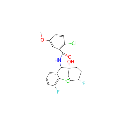 COc1ccc(Cl)c(C(=O)NC(c2cccc(F)c2Cl)[C@]2(O)CC[C@@H](F)CC2)c1